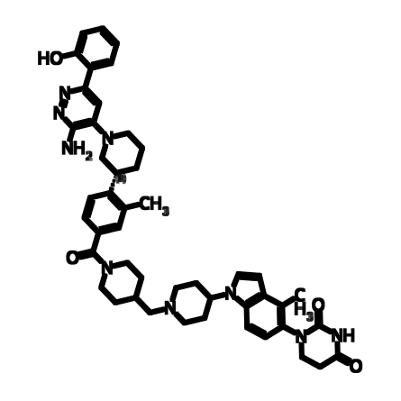 Cc1cc(C(=O)N2CCC(CN3CCC(n4ccc5c(C)c(N6CCC(=O)NC6=O)ccc54)CC3)CC2)ccc1[C@H]1CCCN(c2cc(-c3ccccc3O)nnc2N)C1